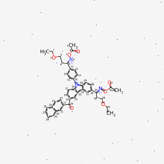 CCOCC/C(=N\OC(C)=O)c1ccc(-n2c3ccc(C(=O)c4ccc5ccccc5c4)cc3c3cc(/C(CCOCC)=N/OC(C)=O)ccc32)cc1